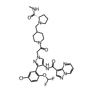 CNC(=O)[C@@H]1CCCN1CC1CCN(C(=O)Cn2cc(NC(=O)c3cnn4cccnc34)c(-c3cc(Cl)ccc3OC(F)F)n2)CC1